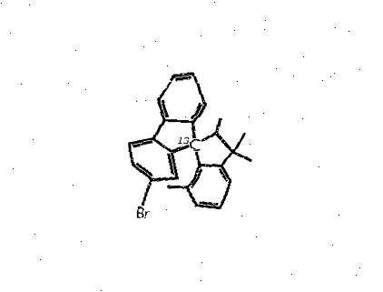 Cc1cccc2c1[13C]1(c3ccccc3-c3ccc(Br)cc31)C(C)C2(C)C